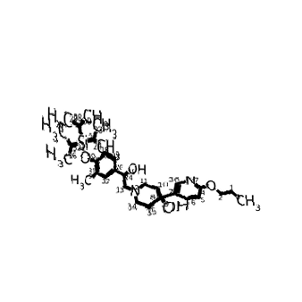 CCCOc1ccc(C2(O)CCN(CC(O)c3ccc(O[Si](C(C)C)(C(C)C)C(C)C)c(C)c3)CC2)cn1